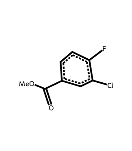 COC(=O)c1ccc(F)c(Cl)c1